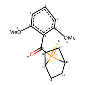 COc1cccc(OC)c1C(=O)P1(=S)C2CCC1CC2